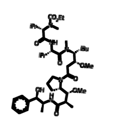 CCOC(=O)N(C)[C@H](C(=O)N[C@H](C(=O)N(C)[C@@H]([C@@H](C)CC)[C@@H](CC(=O)N1CCC[C@H]1[C@H](OC)[C@@H](C)C(=O)N[C@@H](C)[C@H](O)c1ccccc1)OC)C(C)C)C(C)C